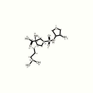 NC1COCC1NS(=O)(=O)N1C[C@H](CCCB(O)O)[C@](N)(C(=O)O)C1